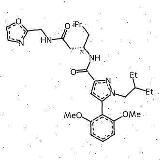 CCC(CC)Cn1nc(C(=O)N[C@H](CC(=O)NCc2ncco2)CC(C)C)cc1-c1c(OC)cccc1OC